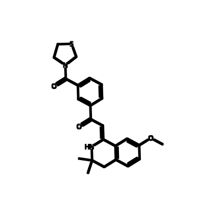 COc1ccc2c(c1)C(=CC(=O)c1cccc(C(=O)N3CCSC3)c1)NC(C)(C)C2